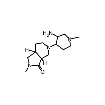 CN1CCC(N2CC[C@H]3CN(C)C(=O)[C@H]3C2)C(N)C1